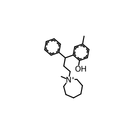 Cc1ccc(O)c(C(CC[N+]2(C)CCCCCC2)c2ccccc2)c1